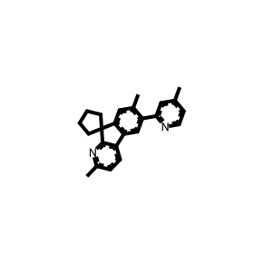 Cc1ccnc(-c2cc3c(cc2C)C2(CCCC2)c2nc(C)ccc2-3)c1